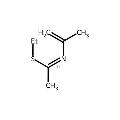 C=C(C)/N=C(/C)SCC